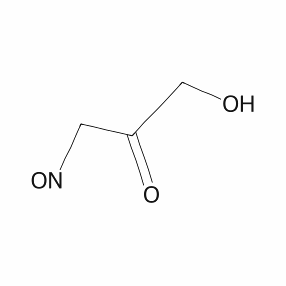 O=NCC(=O)CO